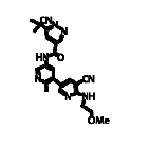 COCCNc1ncc(-c2cc(NC(=O)c3cnnc(C(C)(C)C#N)c3)cnc2C)cc1C#N